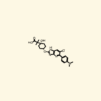 CN(C)c1ccc(-c2nc3nc(O[C@H]4CC[C@](O)(C(C)(C)C(=O)O)CC4)[nH]c3cc2Cl)cc1